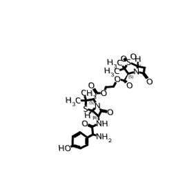 CC1(C)S[C@@H]2[C@H](NC(=O)C(N)c3ccc(O)cc3)C(=O)N2[C@H]1C(=O)OCCOC(=O)[C@@H]1N2C(=O)C[C@H]2S(=O)(=O)C1(C)C